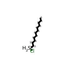 CCCCCCCCCCCC[SiH2]Cl